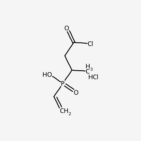 C=CP(=O)(O)C(C)CC(=O)Cl.Cl